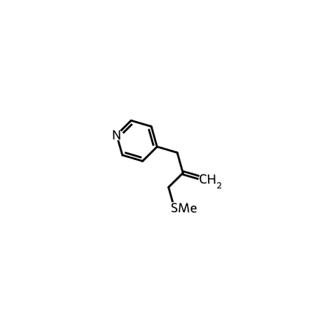 C=C(CSC)Cc1ccncc1